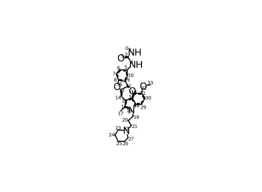 CNC(=O)Nc1ccc2c(c1)C(=O)C(=Cc1c(C)n(CCCN3CCCCC3)c3ccc(OC)cc13)O2